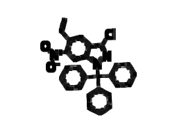 C=Cc1cc2c(Cl)nn(C(c3ccccc3)(c3ccccc3)c3ccccc3)c2cc1[N+](=O)[O-]